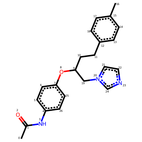 CC(=O)Nc1ccc(OC(CCc2ccc(C)cc2)Cn2ccnc2)cc1